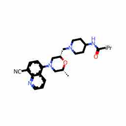 CC(C)C(=O)NC1CCN(C[C@H]2CN(c3ccc(C#N)c4ncccc34)C[C@@H](C)O2)CC1